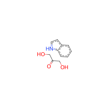 O=C(CO)CO.c1ccc2[nH]ccc2c1